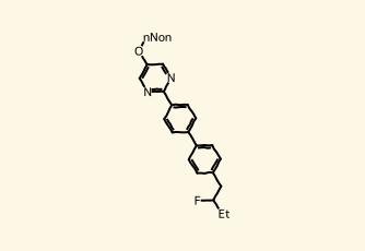 CCCCCCCCCOc1cnc(-c2ccc(-c3ccc(CC(F)CC)cc3)cc2)nc1